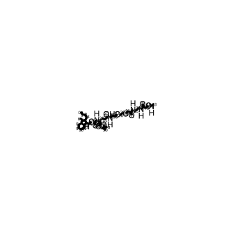 C=C/C=C\C1=C(C)C2C=CC=C[C@@H]2C1COC(=O)N[C@@H](CC[C@H](O)NCCOCCOCC(=O)NCCNC(=O)CONC)C(=O)OC(C)(C)C